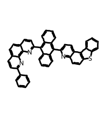 c1ccc(-c2ccc3ccc4ccc(-c5c6ccccc6c(-c6ccc7c(ccc8sc9ccccc9c87)n6)c6ccccc56)nc4c3n2)cc1